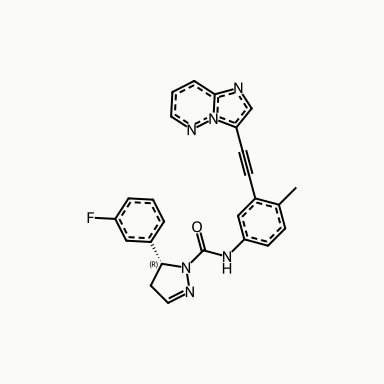 Cc1ccc(NC(=O)N2N=CC[C@@H]2c2cccc(F)c2)cc1C#Cc1cnc2cccnn12